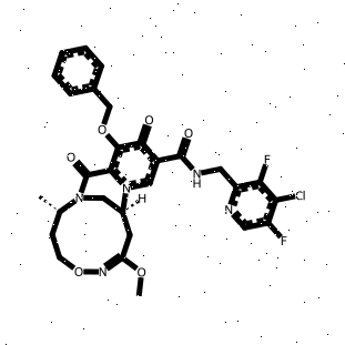 CO/C1=N/OCC[C@H](C)N2C[C@H](C1)n1cc(C(=O)NCc3ncc(F)c(Cl)c3F)c(=O)c(OCc3ccccc3)c1C2=O